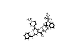 CN1CCC(C(=O)N[C@H](COCc2ccccc2)C(=O)N2CCC3(CC2)CN(S(C)(=O)=O)c2ccccc23)CC1